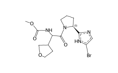 COC(=O)NC(C(=O)N1CCC[C@H]1c1ncc(Br)[nH]1)C1CCOC1